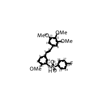 COc1ccc(C=Cc2cc(OC)c(OC)c(OC)c2)cc1NS(=O)(=O)c1ccc(F)cc1